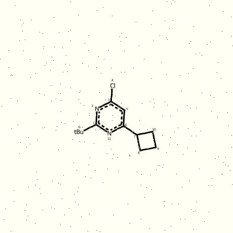 CC(C)(C)c1nc(Cl)cc(C2CCC2)n1